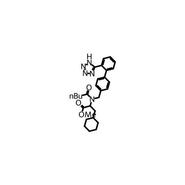 CCCCC(=O)N(Cc1ccc(-c2ccccc2-c2nnn[nH]2)cc1)C(CC1CCCCC1)C(=O)OC